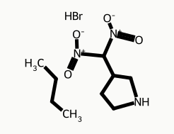 Br.CCCC.O=[N+]([O-])C(C1CCNC1)[N+](=O)[O-]